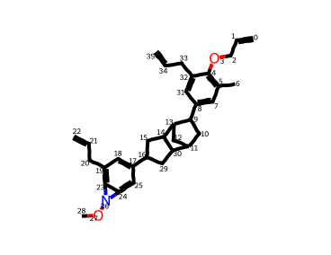 C=CCOc1c(C)cc(C2CC3CC2C2CC(c4cc(CC=C)c5c(c4)N5OC)CC32)cc1CC=C